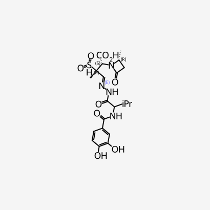 CC(C)C(NC(=O)c1ccc(O)c(O)c1)C(=O)N/N=C/[C@@](C)([C@H](C(=O)O)N1C(=O)C[C@H]1C)[SH](=O)=O